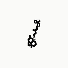 C=C1CC[C@H]2C(C)(C)CCC[C@]2(C)[C@H]1CCC/C(C)=C/COC(C)=O